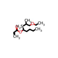 C=CC(=O)OC(CCCC)[SiH2]C(C)COCC